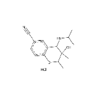 CC(C)NC1c2cc(C#N)ccc2OC(C)C1(C)O.Cl